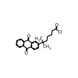 CC(C)(CCCCC(=O)Cl)c1ccc2c(c1)C(=O)c1ccccc1C2=O